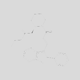 CCNC(=O)C[C@H]1CCCCN1C(=O)C=Cc1c(-c2ccccc2)nn2ccccc12